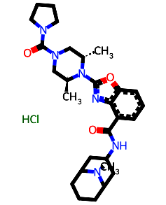 C[C@H]1CN(C(=O)N2CCCC2)C[C@H](C)N1c1nc2c(C(=O)NC3CC4CCCC(C3)N4C)cccc2o1.Cl